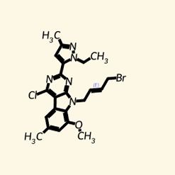 CCn1nc(C)cc1-c1nc(Cl)c2c3cc(C)cc(OC)c3n(C/C=C/CBr)c2n1